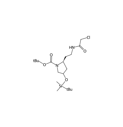 CC(C)(C)OC(=O)N1CC(O[Si](C)(C)C(C)(C)C)C[C@@H]1CCNC(=O)CCl